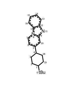 CC(C)(C)C1CCC(c2ccn3c(c2)nc2ccccc23)CC1